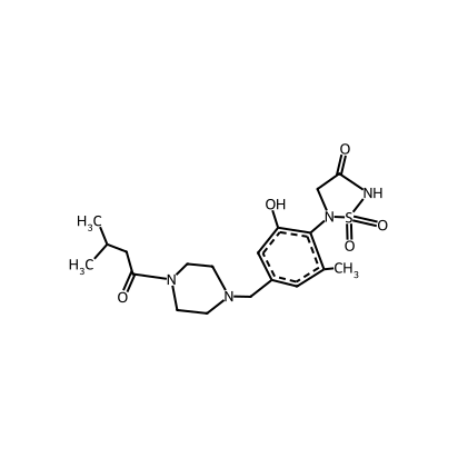 Cc1cc(CN2CCN(C(=O)CC(C)C)CC2)cc(O)c1N1CC(=O)NS1(=O)=O